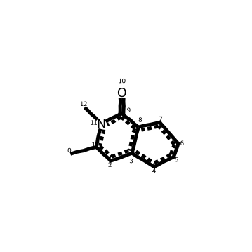 Cc1cc2ccccc2c(=O)n1C